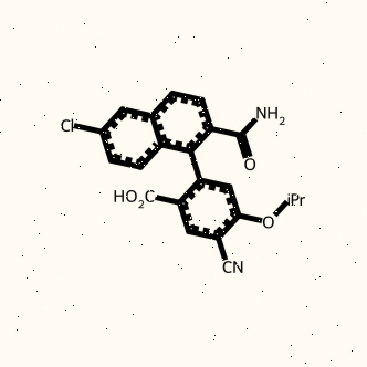 CC(C)Oc1cc(-c2c(C(N)=O)ccc3cc(Cl)ccc23)c(C(=O)O)cc1C#N